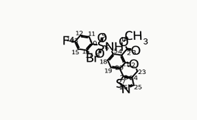 COC(=O)c1c(NS(=O)(=O)c2ccc(F)cc2Br)ccc2c1OCc1cnsc1-2